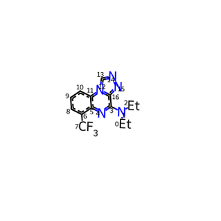 CCN(CC)c1nc2c(C(F)(F)F)cccc2n2cnnc12